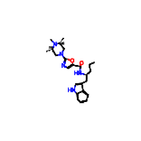 CCCC(Cc1c[nH]c2ccccc12)NC(=O)c1cnc(N2C[C@@H](C)N(C)[C@@H](C)C2)o1